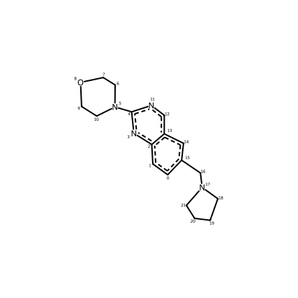 c1cc2nc(N3CCOCC3)ncc2cc1CN1CCCC1